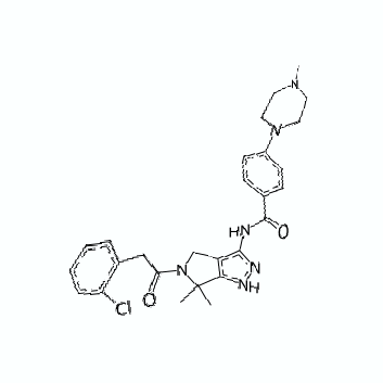 CN1CCN(c2ccc(C(=O)Nc3n[nH]c4c3CN(C(=O)Cc3ccccc3Cl)C4(C)C)cc2)CC1